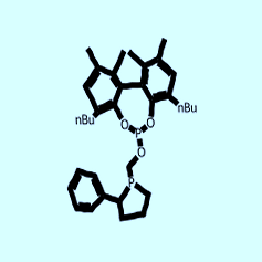 CCCCc1cc(C)c(C)c2c1op(OCP1CCCC1c1ccccc1)oc1c(CCCC)cc(C)c(C)c12